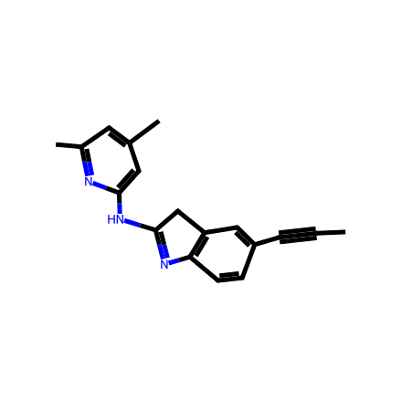 CC#Cc1ccc2c(c1)CC(Nc1cc(C)cc(C)n1)=N2